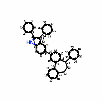 c1ccc(-c2[nH]c3ccc(-c4ccc5c(c4)-c4ccccc4CCC5c4ccccc4)cc3c2-c2ccccc2)cc1